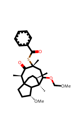 COCOC1C[C@@](C)(SC(=O)c2ccccc2)C(=O)[C@H](C)C23CC[C@@H](C)[C@]1(C)C2[C@H](OC)CC3